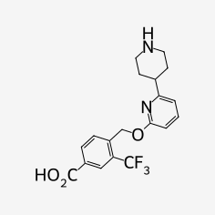 O=C(O)c1ccc(COc2cccc(C3CCNCC3)n2)c(C(F)(F)F)c1